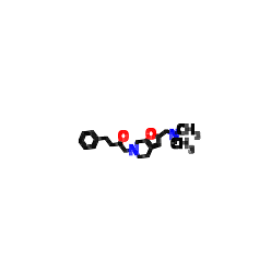 CN(C)Cc1cc2c(o1)CN(CC(=O)CCc1ccccc1)CC2